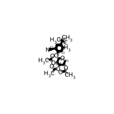 CC(=O)O[C@H]1[C@H](OC(C)=O)C(Oc2ccc(C(C)(C)C)cc2C#N)OC[C@H]1OC(C)=O